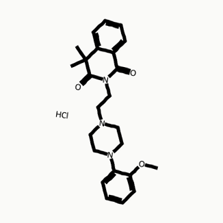 COc1ccccc1N1CCN(CCN2C(=O)c3ccccc3C(C)(C)C2=O)CC1.Cl